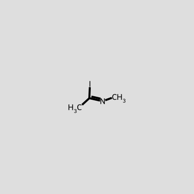 C/N=C(/C)I